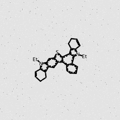 CCn1c2c(c3cc4c(cc31)sc1c3c5c(n(CC)c3c3ccccc3c41)C=CCC5)CCC=C2